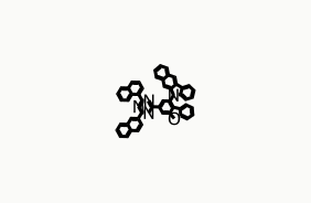 c1ccc2cc(-c3nc(-c4cc(-n5c6ccccc6c6cc7ccccc7cc65)c5c(c4)oc4ccccc45)nc(-c4cccc5ccccc45)n3)ccc2c1